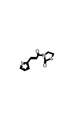 O=C(C=Cc1cccs1)N1CCSC1=O